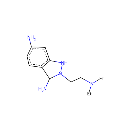 CCN(CC)CCN1Nc2cc(N)ccc2C1N